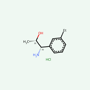 CCc1cccc([C@H](N)[C@H](C)O)c1.Cl